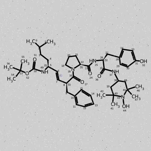 CC(C)CC[C@@H](/C=C/[C@H](Cc1ccccc1)C(=O)N1CCC[C@H]1C(=O)N[C@@H](Cc1ccc(O)cc1)C(=O)NC1CC(C)(C)N(O)C(C)(C)C1)NC(=O)OC(C)(C)C